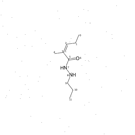 CCC=C(C)C(=O)NNCCC